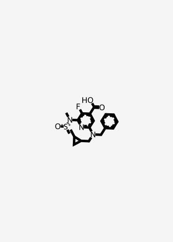 CC1CC1CN(Cc1ccccc1)c1cc(C(=O)O)c(F)c(N(C)[S+](C)[O-])n1